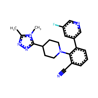 Cc1nnc(C2CCN(c3c(C#N)cccc3-c3cncc(F)c3)CC2)n1C